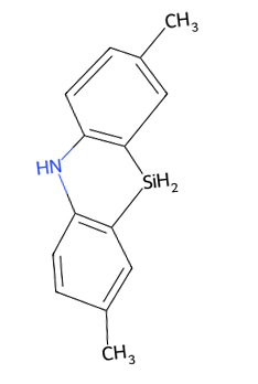 Cc1ccc2c(c1)[SiH2]c1cc(C)ccc1N2